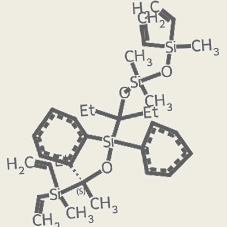 C=C[Si](C)(C=C)O[Si](C)(C)OC(CC)(CC)[Si](O[C@](C)(CC)[Si](C)(C=C)C=C)(c1ccccc1)c1ccccc1